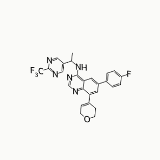 CC(Nc1ncnc2c(C3=CCOCC3)cc(-c3ccc(F)cc3)cc12)c1cnc(C(F)(F)F)nc1